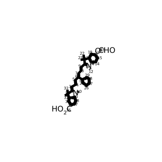 CN1C(=CC=CC(=CC=CC2=[N+](C)c3ccc(OC=O)cc3C2(C)C)c2ccccc2)C(C)(C)c2cc(C(=O)O)ccc21